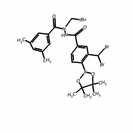 Cc1cc(C)cc(C(=O)N(CC(C)(C)C)NC(=O)c2ccc(B3OC(C)(C)C(C)(C)O3)c(C(Br)Br)c2)c1